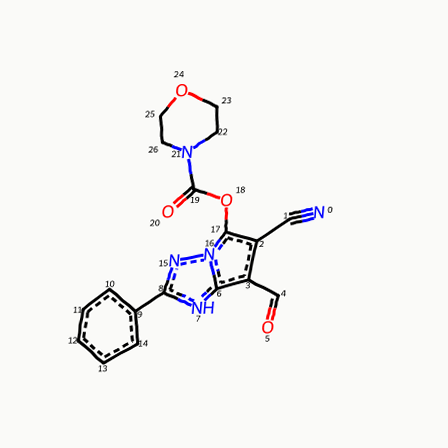 N#Cc1c(C=O)c2[nH]c(-c3ccccc3)nn2c1OC(=O)N1CCOCC1